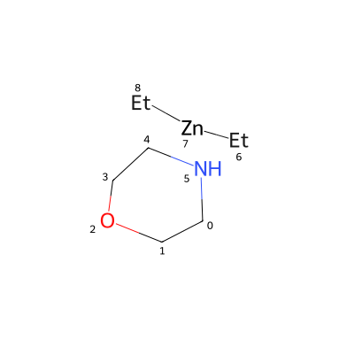 C1COCCN1.C[CH2][Zn][CH2]C